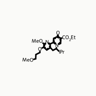 CCOC(=O)c1cn2c(cc1=O)-c1nc(OC)c(OCCCOC)cc1CC2C(C)C